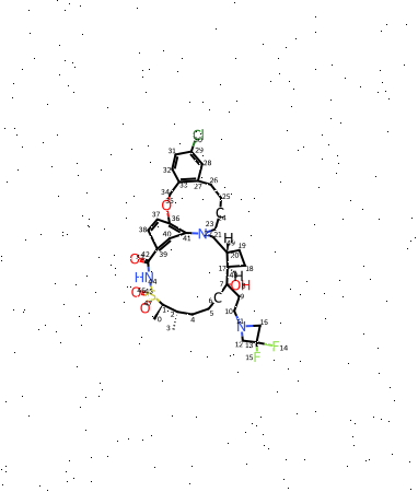 C[C@@H]1[C@@H](C)CCC[C@](O)(CCN2CC(F)(F)C2)[C@@H]2CC[C@H]2CN2CCCCc3cc(Cl)ccc3COc3ccc(cc32)C(=O)NS1(=O)=O